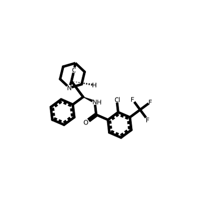 O=C(N[C@@H](c1ccccc1)[C@@H]1CC2CCN1CC2)c1cccc(C(F)(F)F)c1Cl